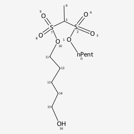 CCCCCOS(=O)(=O)C(C)S(=O)(=O)OCCCCCO